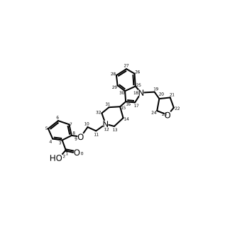 O=C(O)c1ccccc1OCCN1CCC(c2cn(CC3CCOC3)c3ccccc23)CC1